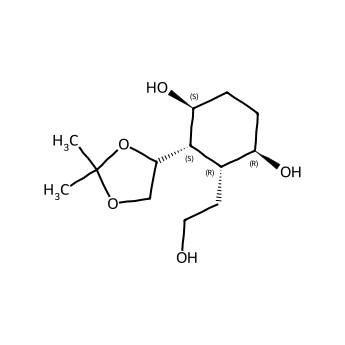 CC1(C)OCC([C@H]2[C@@H](CCO)[C@H](O)CC[C@@H]2O)O1